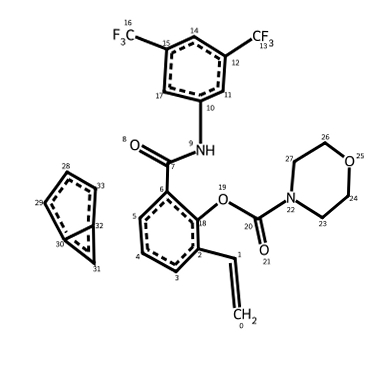 C=Cc1cccc(C(=O)Nc2cc(C(F)(F)F)cc(C(F)(F)F)c2)c1OC(=O)N1CCOCC1.c1cc2cc-2c1